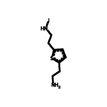 NCCc1ccc(CCNI)s1